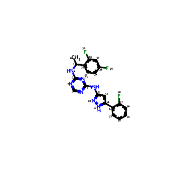 CC(Nc1ncnc(Nc2cc(-c3ccccc3F)[nH]n2)n1)c1ccc(F)cc1F